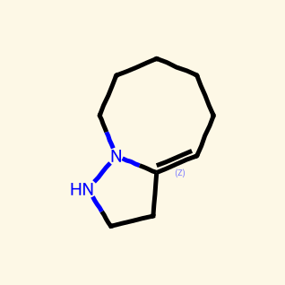 C1=C2/CCNN2CCCCC/1